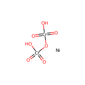 [Ni].[O]=[Cr](=[O])([OH])[O][Cr](=[O])(=[O])[OH]